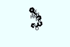 O=C(C1CCCN(c2ccc3nc(C(F)(F)c4ccccc4)[nH]c3n2)C1)N1CCCC1